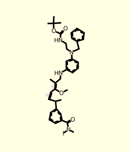 COC(/C=C\C(C)c1cccc(C(=O)N(C)I)c1)=C(/C)CNc1cccc(N(CCNC(=O)OC(C)(C)C)Cc2ccccc2)c1